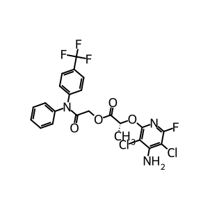 C[C@@H](Oc1nc(F)c(Cl)c(N)c1Cl)C(=O)OCC(=O)N(c1ccccc1)c1ccc(C(F)(F)F)cc1